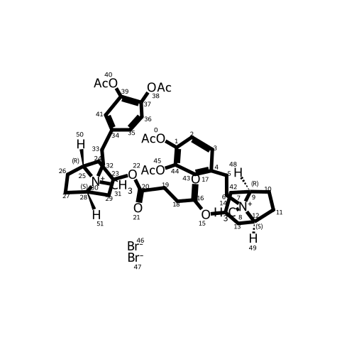 CC(=O)Oc1ccc(CC[N+]2(C)[C@@H]3CC[C@H]2CC(OC(=O)CCC(=O)OC2C[C@H]4CC[C@@H](C2)[N+]4(C)CCc2ccc(OC(C)=O)c(OC(C)=O)c2)C3)cc1OC(C)=O.[Br-].[Br-]